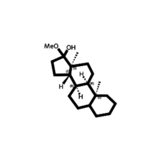 COC1(O)CC[C@H]2[C@@H]3CCC4CCCC[C@]4(C)[C@@H]3CC[C@@]21C